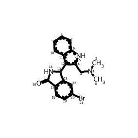 CN(C)Cc1[nH]c2ccccc2c1C1NC(=O)c2ccc(Br)cc21